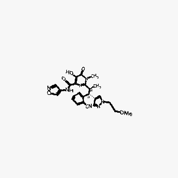 COCCn1cc([C@H](c2ccccc2C#N)[C@H](C)c2nc(C(=O)Nc3cnoc3)c(O)c(=O)n2C)cn1